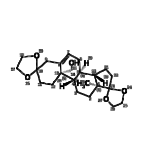 C[C@]12CC[C@H]3[C@@H](CC=C4CC5(CC[C@@]43CO)OCCO5)[C@@H]1CCC21OCCO1